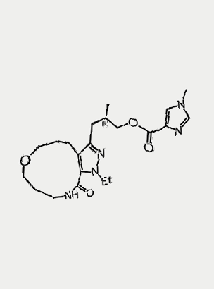 CCn1nc(C[C@@H](C)COC(=O)c2cn(C)cn2)c2c1C(=O)NCCCOCCC2